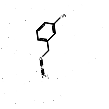 C=C=NCc1cccc(CCC)c1